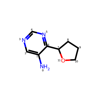 Nc1cn[c]nc1C1CCCO1